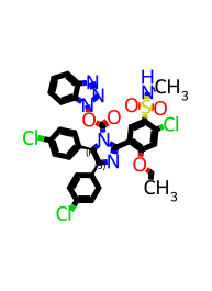 CCOc1cc(Cl)c(S(=O)(=O)NC)cc1C1=N[C@@H](C2C=CC(Cl)=CC2)[C@@H](c2ccc(Cl)cc2)N1C(=O)On1nnc2ccccc21